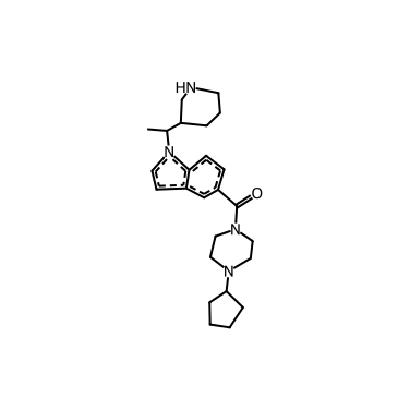 CC(C1CCCNC1)n1ccc2cc(C(=O)N3CCN(C4CCCC4)CC3)ccc21